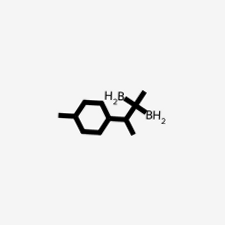 BC(B)(C)C(C)C1CCC(C)CC1